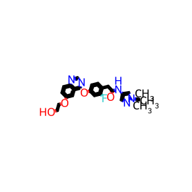 CC(C)(C)n1cc(NC(=O)Cc2ccc(Oc3ncnc4ccc(OCCO)cc34)cc2F)cn1